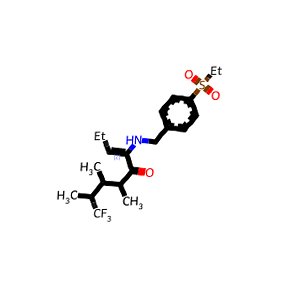 CC/C=C(\NCc1ccc(S(=O)(=O)CC)cc1)C(=O)C(C)C(C)C(C)C(F)(F)F